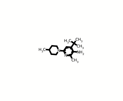 Cc1nc(N2CCC(C)CC2)cc(C(C)(C)C)c1N